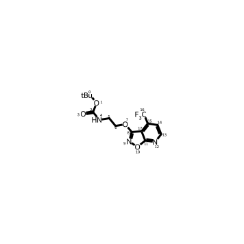 CC(C)(C)OC(=O)NCCOc1noc2nccc(C(F)(F)F)c12